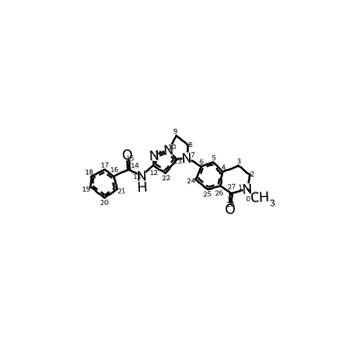 CN1CCc2cc(N3CCn4nc(NC(=O)c5ccccc5)cc43)ccc2C1=O